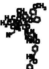 COc1ccc(C(OC[C@H]2O[C@@H](n3cnc4c(NC(=O)c5ccc(CNC(=O)Cc6ccccc6)cc5)ncnc43)CC2OP(OCCC#N)N(C(C)C)C(C)C)(c2ccccc2)c2ccc(OC)cc2)cc1